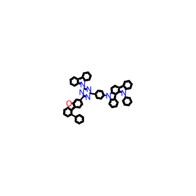 c1ccc(-c2cccc3oc4cc(-c5nc(-c6ccc(-n7c8ccccc8c8c7ccc7c9ccccc9n(-c9ccccc9)c78)cc6)nc(-n6c7ccccc7c7ccccc76)n5)ccc4c23)cc1